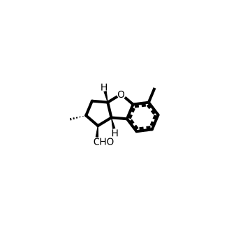 Cc1cccc2c1O[C@H]1C[C@@H](C)[C@H](C=O)[C@@H]21